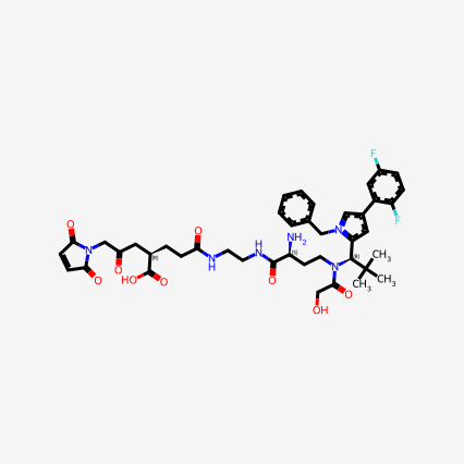 CC(C)(C)[C@H](c1cc(-c2cc(F)ccc2F)cn1Cc1ccccc1)N(CC[C@H](N)C(=O)NCCNC(=O)CC[C@H](CC(=O)CN1C(=O)C=CC1=O)C(=O)O)C(=O)CO